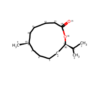 CC(C)[C@H]1CCCC[C@@H](C)[CH]CCCC(=O)O1